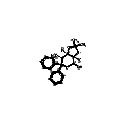 C[C@@H]1[C@H]2OC(C)(C)O[C@H]2C(O)OC1(c1ccccc1)c1ccccc1